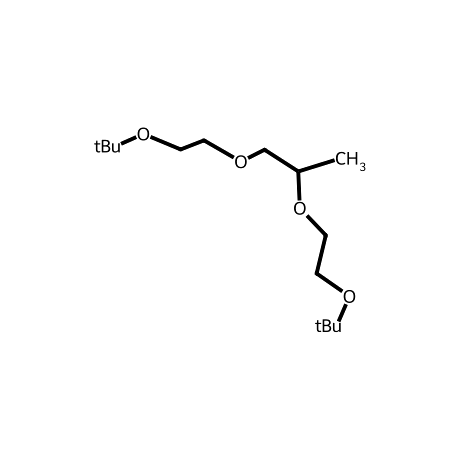 CC(COCCOC(C)(C)C)OCCOC(C)(C)C